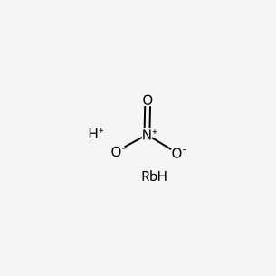 O=[N+]([O-])[O-].[H+].[RbH]